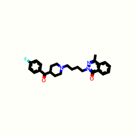 Cc1nn(CCCCN2CCC(C(=O)c3ccc(F)cc3)CC2)c(=O)c2ccccc12